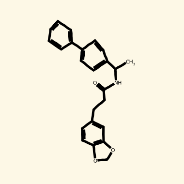 CC(NC(=O)CCc1ccc2c(c1)OCO2)c1ccc(-c2ccccc2)cc1